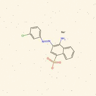 Nc1c(N=Nc2cccc(Cl)c2)cc(S(=O)(=O)[O-])c2ccccc12.[Na+]